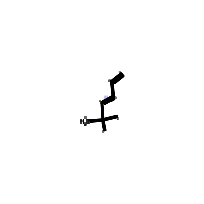 BC(C)(C)/C=C/C=C